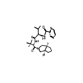 CC(C)[C@@H](NC(=O)c1cnccn1)C(=O)NC(C(=O)N1C[C@H]2CCC[C@H]2C1)C(C)(C)C